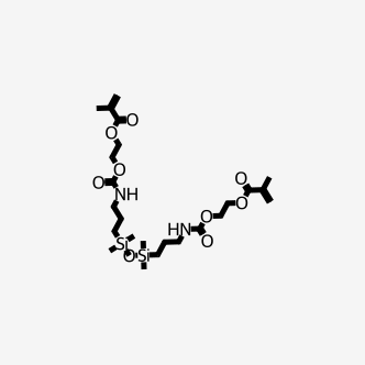 C=C(C)C(=O)OCCOC(=O)NCCC[Si](C)(C)O[Si](C)(C)CCCNC(=O)OCCOC(=O)C(=C)C